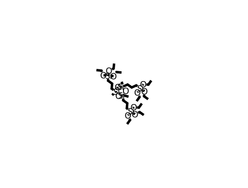 CCO[Si](CCC[Si]1(C)O[Si](C)(CCC[Si](OCC)(OCC)OCC)O[Si](C)(CCC[Si](OCC)(OCC)OCC)O1)(OCC)OCC